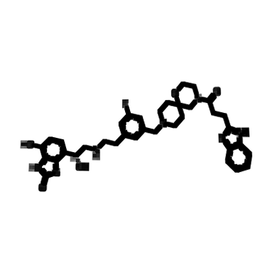 O=C(CCc1nc2ccccc2[nH]1)N1CCOC2(CCN(Cc3cc(F)cc(CCNC[C@H](O)c4ccc(O)c5[nH]c(=O)sc45)c3)CC2)C1